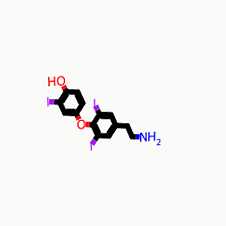 NCCc1cc(I)c(Oc2ccc(O)c(I)c2)c(I)c1